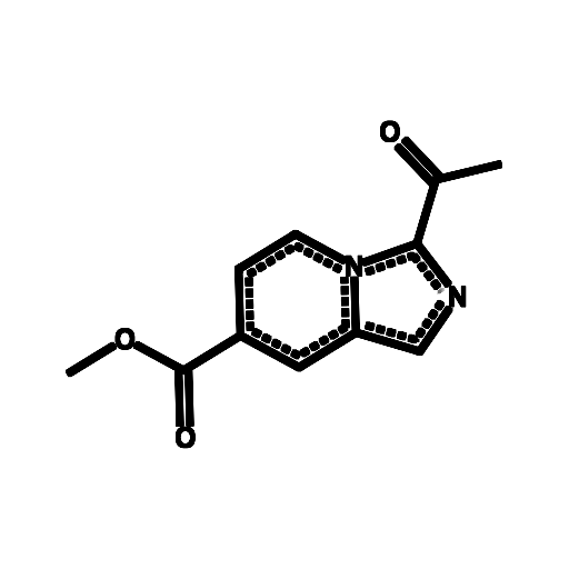 COC(=O)c1ccn2c(C(C)=O)ncc2c1